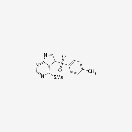 CSc1ncnc2c1C(S(=O)(=O)c1ccc(C)cc1)C=N2